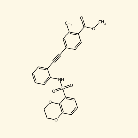 COC(=O)c1ccc(C#Cc2ccccc2NS(=O)(=O)c2cccc3c2OCCO3)cc1C